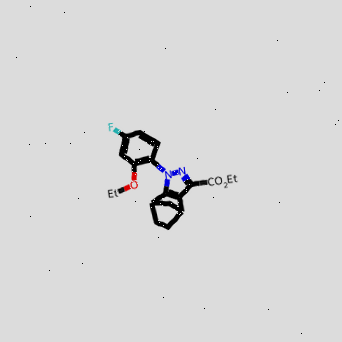 CCOC(=O)c1nn(-c2ccc(F)cc2OCC)c2c1C1CCC2C1